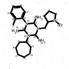 CCN1CCCC1CN1C(N)N(c2ccccc2C)C(N)N(C2CCCCCC2)C1N